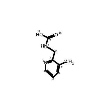 Cc1cccnc1CNC(=O)O